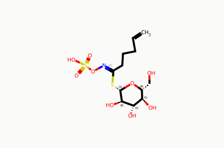 C=CCCC/C(=N/OS(=O)(=O)O)S[C@@H]1O[C@H](CO)[C@@H](O)[C@H](O)[C@H]1O